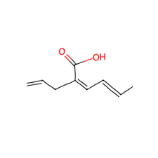 C=CCC(=CC=CC)C(=O)O